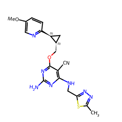 COc1ccc([C@H]2C[C@@H]2COc2nc(N)nc(NCc3nnc(C)s3)c2C#N)nc1